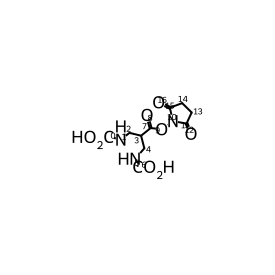 O=C(O)NCC(CNC(=O)O)C(=O)ON1C(=O)CCC1=O